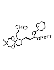 CCCCCC(C=CC1CCC2(OCC(C)(C)CO2)C1CCC=O)OC1CCCCO1